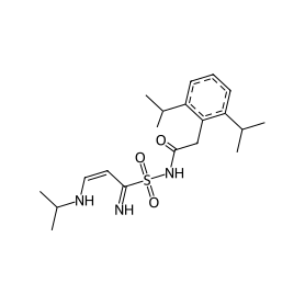 CC(C)N/C=C\C(=N)S(=O)(=O)NC(=O)Cc1c(C(C)C)cccc1C(C)C